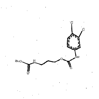 CC(C)COC(=O)NCCCOC(=O)Nc1ccc(Cl)c(Cl)c1